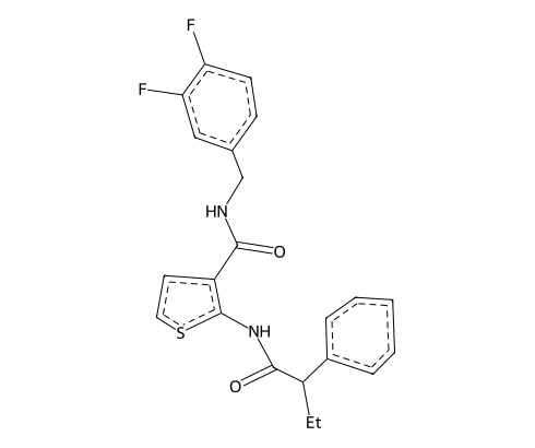 CCC(C(=O)Nc1sccc1C(=O)NCc1ccc(F)c(F)c1)c1ccccc1